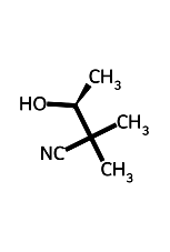 C[C@H](O)C(C)(C)C#N